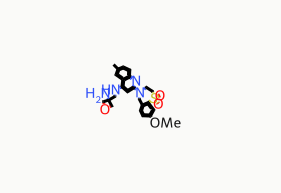 COc1ccc2c(c1)S(=O)(=O)CCN(c1cc(NCC3(N)COC3)c3cc(C)ccc3n1)C2